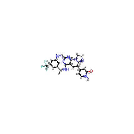 Cc1nc(NC(C)c2cc(N)cc(C(F)(F)F)c2)c2c(n1)N1CCN=C1C(c1ccn(C)c(=O)c1)=C2